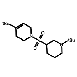 CC(C)(C)C1=CCN(S(=O)(=O)C2CCCN(C(C)(C)C)C2)CC1